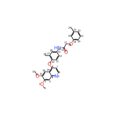 COc1cc2nccc(Oc3ccc(NC(=O)COc4cccc(C)c4)cc3C)c2cc1OC